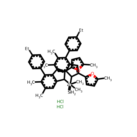 CCc1ccc(-c2c(C)c(C)cc3c2C=C(c2ccc(C)o2)[CH]3[Zr]([CH3])([CH3])(=[SiH2])[CH]2C(c3ccc(C)o3)=Cc3c2cc(C)c(C)c3-c2ccc(CC)cc2)cc1.Cl.Cl